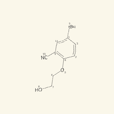 CC(C)(C)c1ccc(OCCO)c(C#N)c1